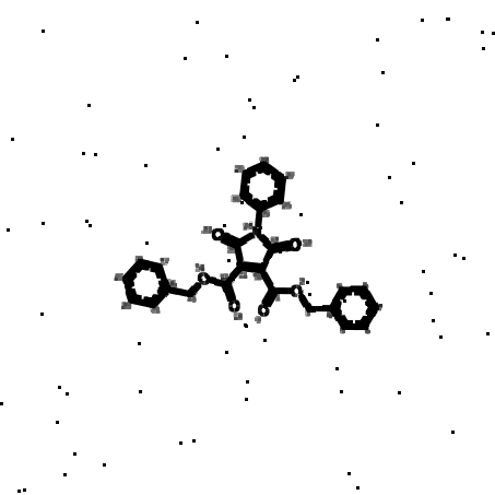 O=C(OCc1ccccc1)C1=C(C(=O)OCc2ccccc2)C(=O)N(c2ccccc2)C1=O